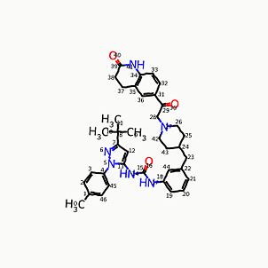 Cc1ccc(-n2nc(C(C)(C)C)cc2NC(=O)Nc2cccc(CC3CCN(CC(=O)c4ccc5c(c4)CCC(=O)N5)CC3)c2)cc1